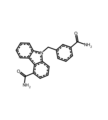 NC(=O)c1cccc(Cn2c3ccc[c]c3c3c(C(N)=O)cccc32)c1